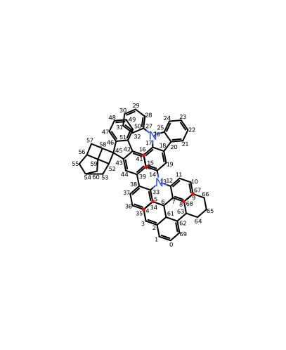 C1=CC2=CCCC(c3ccccc3N(c3ccc4c(c3)c3ccccc3n4-c3ccccc3)c3ccccc3-c3ccc4c(c3)C3(c5ccccc5-4)C4CC5CC6CC3C64C5)C2C(C2CCCCC2)=C1